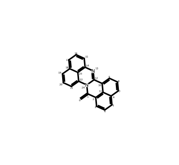 C=C1c2cccc3cccc(c23)C2=Nc3cccc4cccc(c34)N12